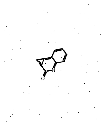 O=c1nc2ccccc2c2cc1-2